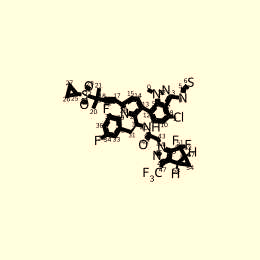 Cn1nc(N=C=S)c2c(Cl)ccc(-c3ccc(C#CC(C)(C)S(=O)(=O)C4CC4)nc3[C@H](Cc3cc(F)cc(F)c3)NC(=O)Cn3nc(C(F)(F)F)c4c3C(F)(F)[C@@H]3C[C@H]43)c21